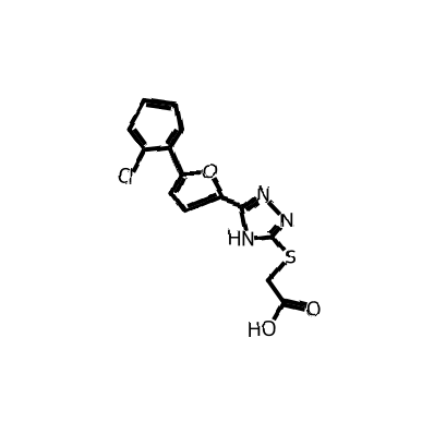 O=C(O)CSc1nnc(-c2ccc(-c3ccccc3Cl)o2)[nH]1